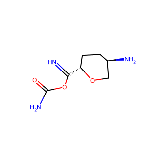 N=C(OC(N)=O)[C@@H]1CC[C@@H](N)CO1